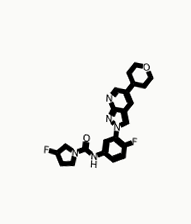 O=C(Nc1ccc(F)c(-n2cc3cc(C4CCOCC4)cnc3n2)c1)N1CCC(F)C1